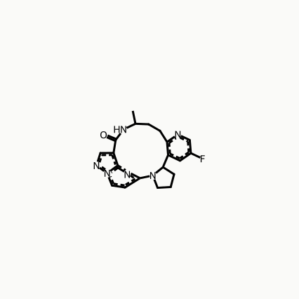 CC1CCc2ncc(F)cc2C2CCCN2c2ccn3ncc(c3n2)C(=O)N1